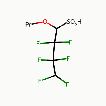 CC(C)OC(C(F)(F)C(F)(F)C(F)F)S(=O)(=O)O